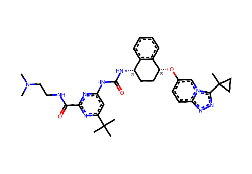 CN(C)CCNC(=O)c1nc(NC(=O)N[C@H]2CC[C@@H](Oc3ccc4nnc(C5(C)CC5)n4c3)c3ccccc32)cc(C(C)(C)C)n1